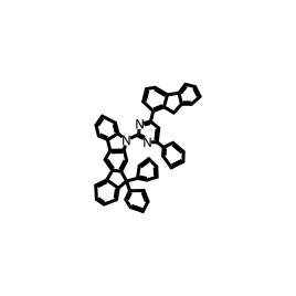 c1ccc(-c2cc(-c3cccc4c3Cc3ccccc3-4)nc(-n3c4ccccc4c4cc5c(cc43)C(c3ccccc3)(c3ccccc3)c3ccccc3-5)n2)cc1